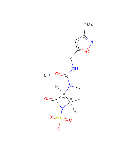 COc1cc(CNC(=O)N2CC[C@@H]3[C@H]2C(=O)N3S(=O)(=O)[O-])on1.[Na+]